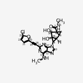 CNC(=O)C12CC1[C@H]1C(n3cnc4c(NC)nc(C#Cc5ccc(Cl)o5)nc43)[C@@]1(O)[C@@H]2O